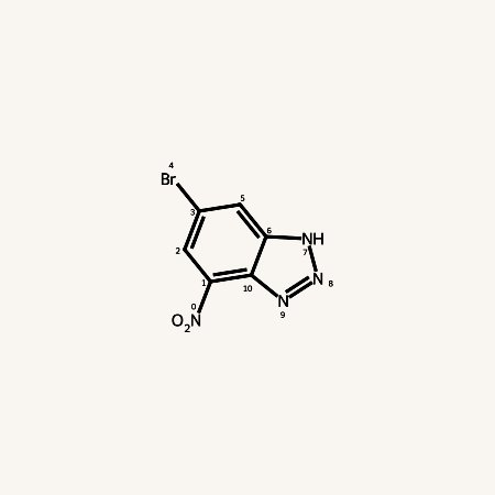 O=[N+]([O-])c1cc(Br)cc2[nH]nnc12